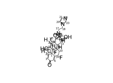 C[C@]12C=CC(=O)C=C1[C@@H](F)C[C@H]1[C@@H]3C[C@H]4CN(CCn5ccnc5)O[C@@]4(C(=O)CO)[C@@]3(C)C[C@H](O)[C@@]12F